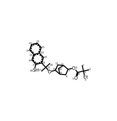 CCC(C)(C)C(=O)OC1CC2CC1CC2OC(C)(C)c1cc2ccccc2cc1S